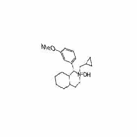 COc1cccc(C2C3CCCCC3CC[N+]2(O)CC2CC2)c1